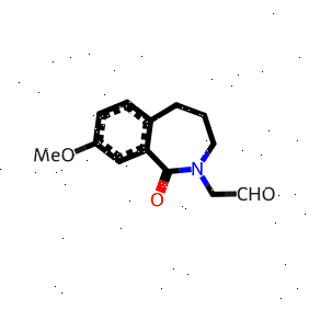 COc1ccc2c(c1)C(=O)N(CC=O)CCC2